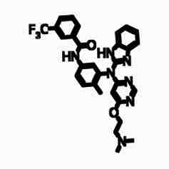 Cc1ccc(NC(=O)c2cccc(C(F)(F)F)c2)cc1N(c1cc(OCCN(C)C)ncn1)c1nc2ccccc2[nH]1